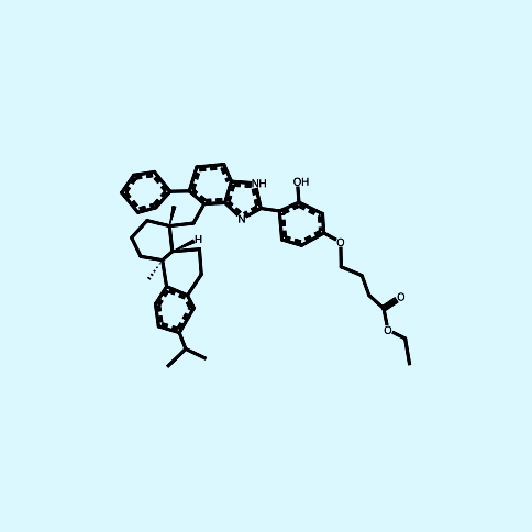 CCOC(=O)CCCOc1ccc(-c2nc3c(C[C@@]4(C)CCC[C@]5(C)c6ccc(C(C)C)cc6CC[C@@H]45)c(-c4ccccc4)ccc3[nH]2)c(O)c1